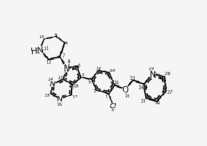 Clc1cc(-c2cn([C@@H]3CCCNC3)c3ncncc23)ccc1OCc1ccccn1